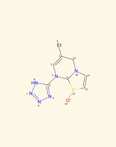 CCC1=CN(c2nnn[nH]2)C2N(C=C[S+]2[O-])C1